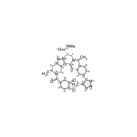 CNC(=O)[C@@H]1CN([C@@H](C)c2ccc(-c3nnnn3C)cc2)C(=O)c2c3c(nn21)C[C@@H](C)N(C(=O)c1ccc(Cl)c(Cl)c1)C3